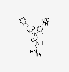 Cc1nc(-c2ccc(N(CC(=O)NCCNC(C)C)CC(=O)N(C)C3Cc4ccccc4C3)c(C)c2)no1